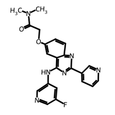 CN(C)C(=O)COc1ccc2nc(-c3cccnc3)nc(Nc3cncc(F)c3)c2c1